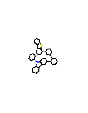 c1ccc(-n2c3ccccc3c3cc(-c4ccccc4-c4cccc(-c5cccc6c5sc5ccccc56)c4)ccc32)cc1